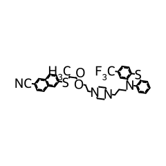 CC(Sc1ccc2cc(C#N)ccc2c1)C(=O)OCCN1CCN(CCCN2c3ccccc3Sc3ccc(C(F)(F)F)cc32)CC1